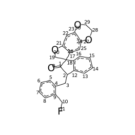 O=C1C(Cc2ccccc2CF)c2ccccc2C12COc1cc3c(cc12)OCCO3